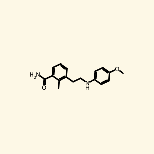 COc1ccc(NCCc2cccc(C(N)=O)c2C)cc1